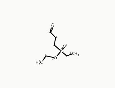 CCOP(=O)(CC)CCC=O